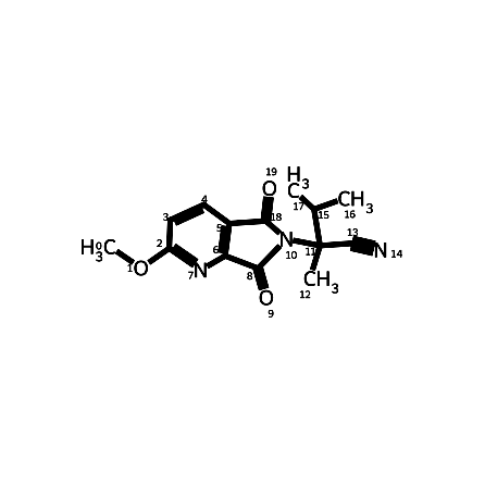 COc1ccc2c(n1)C(=O)N(C(C)(C#N)C(C)C)C2=O